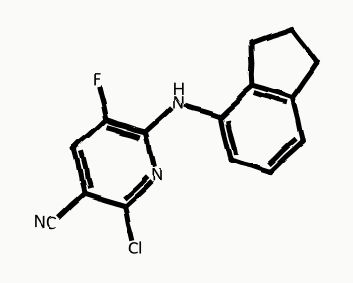 N#Cc1cc(F)c(Nc2cccc3c2CCC3)nc1Cl